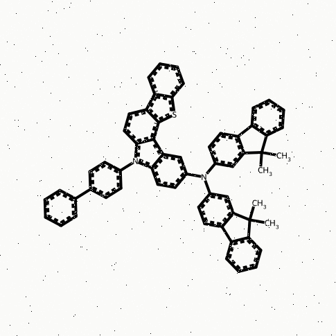 CC1(C)c2ccccc2-c2ccc(N(c3ccc4c(c3)C(C)(C)c3ccccc3-4)c3ccc4c(c3)c3c5sc6ccccc6c5ccc3n4-c3ccc(-c4ccccc4)cc3)cc21